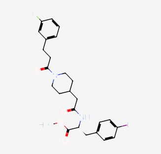 COC(=O)[C@H](Cc1ccc(I)cc1)NC(=O)CC1CCN(C(=O)CCc2cccc(F)c2)CC1